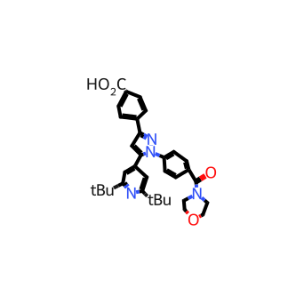 CC(C)(C)c1cc(-c2cc(-c3ccc(C(=O)O)cc3)nn2-c2ccc(C(=O)N3CCOCC3)cc2)cc(C(C)(C)C)n1